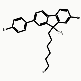 CC1(CCCCCCBr)c2cc(Br)ccc2-c2ccc(-c3ccc(Br)cc3)cc21